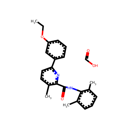 CCOc1cccc(-c2ccc(C)c(C(=O)Nc3c(C)cccc3C)n2)c1.O=CO